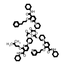 CC(C)CCOc1nc(N2CCC[C@@H](CC(=O)OC(=O)C(OC(=O)C[C@@H]3CCCN(c4ccc(C(=O)NC5CCCCC5)c(OCCc5cccnc5)n4)C3)[C@H]3CCCN(c4ccc(C(=O)NC5CCCCC5)c(OCCCc5ccccc5)n4)C3)C2)ccc1C(=O)NC1CCCCC1